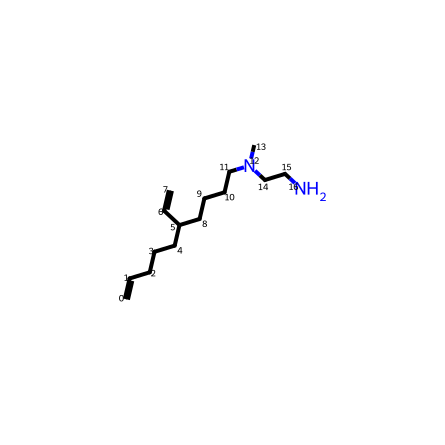 C=CCCCC(C=C)CCCCN(C)CCN